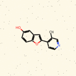 N#Cc1cnccc1-c1cc2cc(O)ccc2o1